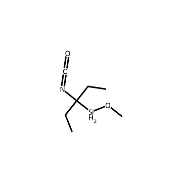 CCC(CC)(N=C=O)[SiH2]OC